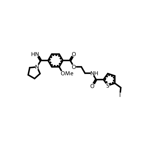 COc1cc(C(=N)N2CCCC2)ccc1C(=O)OCCNC(=O)c1ccc(CI)s1